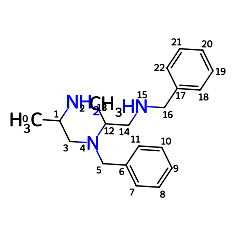 CC(N)CN(Cc1ccccc1)C(C)CNCc1ccccc1